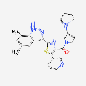 Cc1cc(C)c2[nH]nc(-c3nc(C(=O)N4CCC(N5CCCC5)C4)c(-c4cccnc4)s3)c2c1